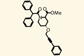 COC(=O)C1C[C@H](OCC#Cc2ccccc2)CCN1C(=O)C(c1ccccc1)c1ccccc1